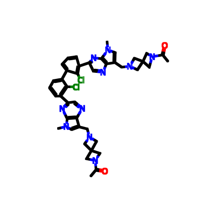 CC(=O)N1CC2(CN(Cc3cn(C)c4nc(-c5cccc(-c6cccc(-c7cnc8c(CN9CC%10(C9)CN(C(C)=O)C%10)cn(C)c8n7)c6Cl)c5Cl)cnc34)C2)C1